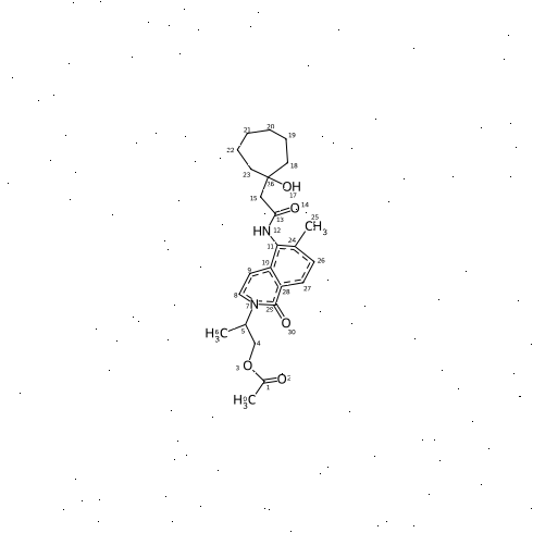 CC(=O)OCC(C)n1ccc2c(NC(=O)CC3(O)CCCCCC3)c(C)ccc2c1=O